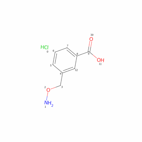 Cl.NOCc1cccc(C(=O)O)c1